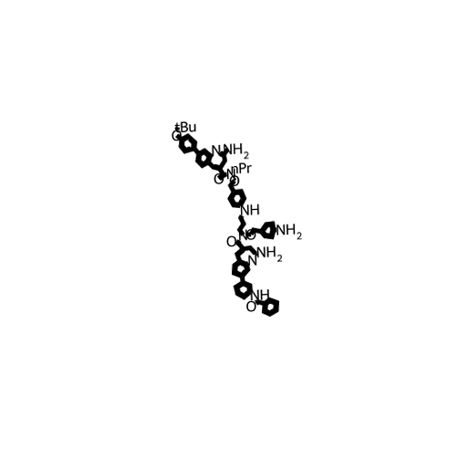 CCCN(OCc1ccc(NCCCN(OCc2ccc(N)cc2)C(=O)C2=Cc3ccc(-c4cccc(NC(=O)c5ccccc5)c4)cc3N=C(N)C2)cc1)C(=O)C1=Cc2ccc(-c3ccc(OC(C)(C)C)cc3)cc2N=C(N)C1